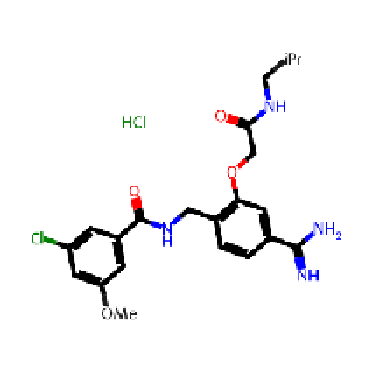 COc1cc(Cl)cc(C(=O)NCc2ccc(C(=N)N)cc2OCC(=O)NCC(C)C)c1.Cl